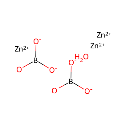 O.[O-]B([O-])[O-].[O-]B([O-])[O-].[Zn+2].[Zn+2].[Zn+2]